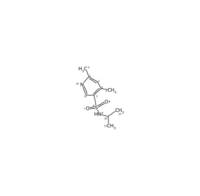 Cc1cc(C)c(S(=O)(=O)NC(C)C)cn1